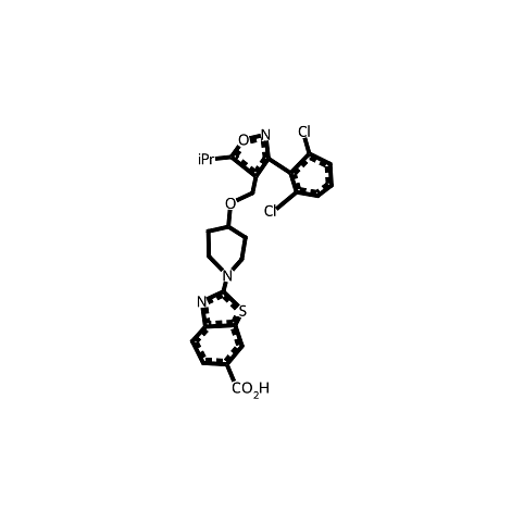 CC(C)c1onc(-c2c(Cl)cccc2Cl)c1COC1CCN(c2nc3ccc(C(=O)O)cc3s2)CC1